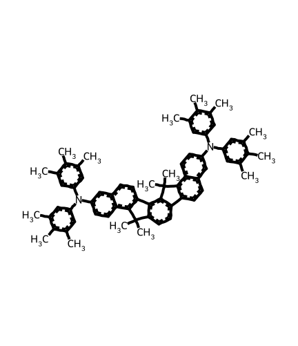 Cc1cc(N(c2cc(C)c(C)c(C)c2)c2ccc3c4c(ccc3c2)-c2c(ccc3c2C(C)(C)c2c-3ccc3cc(N(c5cc(C)c(C)c(C)c5)c5cc(C)c(C)c(C)c5)ccc23)C4(C)C)cc(C)c1C